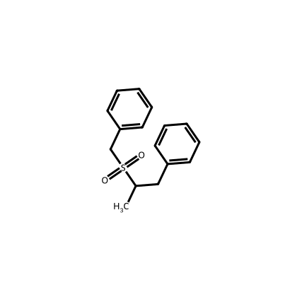 CC(Cc1ccccc1)S(=O)(=O)Cc1ccccc1